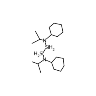 CC(C)N([SiH2][SiH2]N(C(C)C)C1CCCCC1)C1CCCCC1